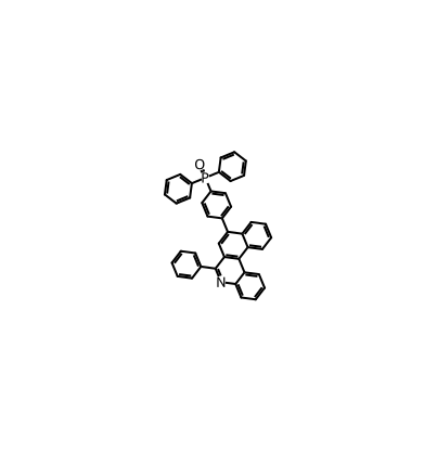 O=P(c1ccccc1)(c1ccccc1)c1ccc(-c2cc3c(-c4ccccc4)nc4ccccc4c3c3ccccc23)cc1